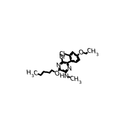 CCCCCOc1nc(Br)c(-c2ccc(OCC)cc2Cl)nc1NC